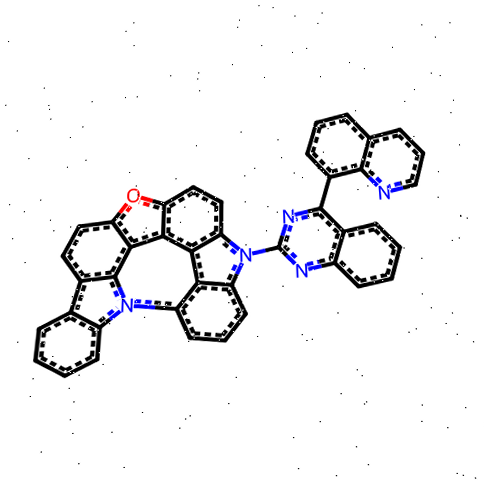 c1cnc2c(-c3nc(-n4c5ccc6oc7ccc8c9ccccc9n9c%10cccc4c%10c5c6c7c89)nc4ccccc34)cccc2c1